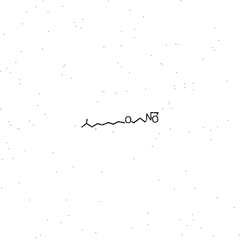 CC(C)CCCCCCCOCCCN1CCO1